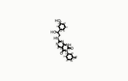 O=c1[nH]c2nc(NCC(O)c3cccc(O)c3)ncc2c(=O)n1-c1cccc(F)c1